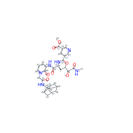 CNC(=O)C(=O)CC[C@H](NC(=O)c1cncc(C(=O)OC)c1)C(=O)Nc1cccn(CC(=O)NC2C3CC4CC(C3)CC2C4)c1=O